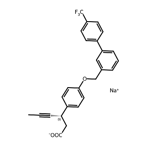 CC#C[C@@H](CC(=O)[O-])c1ccc(OCc2cccc(-c3ccc(C(F)(F)F)cc3)c2)cc1.[Na+]